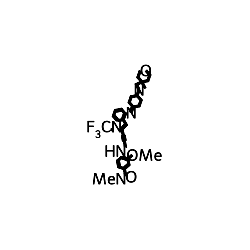 CNC(=O)c1ccc(NCC#Cc2cc3c(N=C4CCC(N5CC6(CCOCC6)C5)CC4)cccc3n2CC(F)(F)F)c(OC)c1